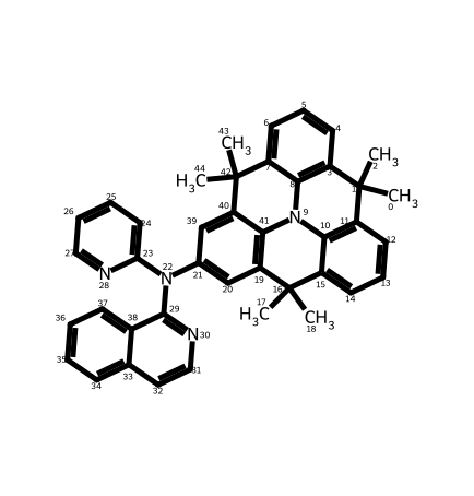 CC1(C)c2cccc3c2N2c4c1cccc4C(C)(C)c1cc(N(c4ccccn4)c4nccc5ccccc45)cc(c12)C3(C)C